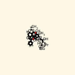 C=C[C@H]1O[C@H]2CC3OC[C@@]3(OC(C)=O)[C@H]3[C@H](OC(=O)c4ccccc4)[C@]4(C(C)(C)O)C[C@H](OC(=O)[C@H](O)[C@H](CC(C)C)NC(=O)OC(C)(C)C)C(C)=C4[C@H](C)[C@H](O1)[C@]23C